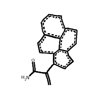 C=C(C(N)=O)c1ccc2ccc3cccc4ccc1c2c34